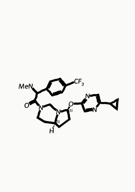 CNC(C(=O)N1CC[C@@H]2CC[C@H](Oc3cnc(C4CC4)cn3)N2C1)c1ccc(C(F)(F)F)cc1